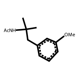 COc1cccc(CC(C)(C)NC(C)=O)c1